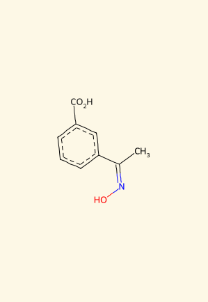 C/C(=N/O)c1cccc(C(=O)O)c1